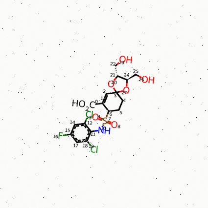 O=C(O)C1=CC2(CCC1S(=O)(=O)Nc1c(Cl)cc(F)cc1Cl)O[C@H](CO)[C@@H](CO)O2